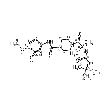 COn1ccc(NC(=O)N2CCN(C(=O)C(C)(C)NC(=O)OC(C)(C)C)CC2)nc1=O